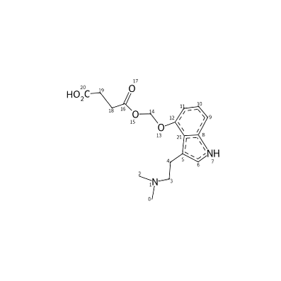 CN(C)CCc1c[nH]c2cccc(OCOC(=O)CCC(=O)O)c12